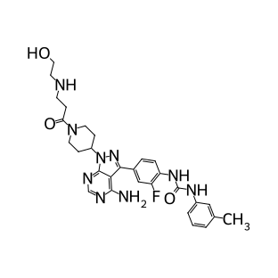 Cc1cccc(NC(=O)Nc2ccc(-c3nn(C4CCN(C(=O)CCNCCO)CC4)c4ncnc(N)c34)cc2F)c1